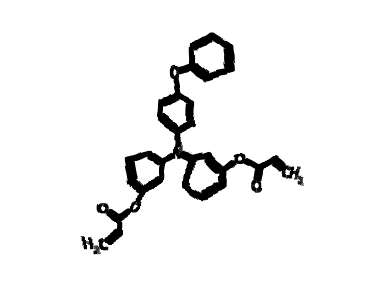 C=CC(=O)Oc1cccc(N(c2ccc(Oc3ccccc3)cc2)c2cccc(OC(=O)C=C)c2)c1